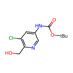 CC(C)(C)OC(=O)Nc1cnc(CO)c(Cl)c1